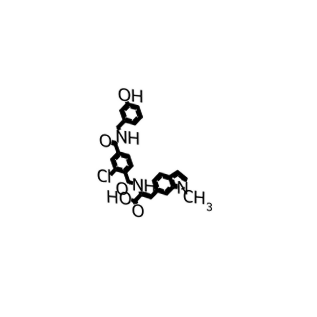 Cn1ccc2ccc(C=C(NC(=O)c3ccc(C(=O)NCc4cccc(O)c4)cc3Cl)C(=O)O)cc21